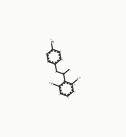 CC(C)c1ccc(CC(C)c2c(F)cccc2F)cc1